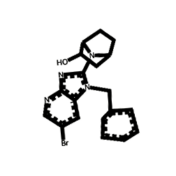 OC1CC2CCC1N2c1nc2ncc(Br)cc2n1Cc1ccccc1